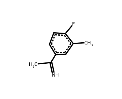 CC(=N)c1ccc(F)c(C)c1